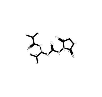 CC(C)C(=O)O[C@@H](OC(=O)ON1C(=O)CCC1=O)C(C)C